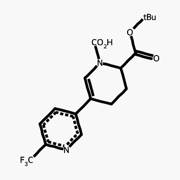 CC(C)(C)OC(=O)C1CCC(c2ccc(C(F)(F)F)nc2)=CN1C(=O)O